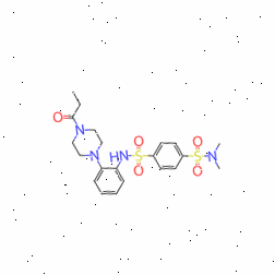 CCC(=O)N1CCN(c2ccccc2NS(=O)(=O)c2ccc(S(=O)(=O)N(C)C)cc2)CC1